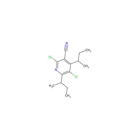 CCC(C)c1nc(Cl)c(C#N)c(C(C)CC)c1Cl